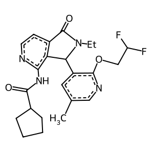 CCN1C(=O)c2ccnc(NC(=O)C3CCCC3)c2C1c1cc(C)cnc1OCC(F)F